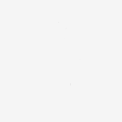 C=CC(=O)OOc1ccc(C(C)(C)c2ccccc2)cc1.OCCO